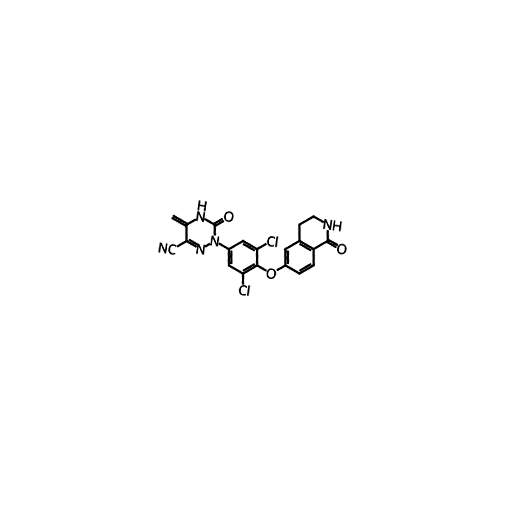 C=C1NC(=O)N(c2cc(Cl)c(Oc3ccc4c(c3)CCNC4=O)c(Cl)c2)N=C1C#N